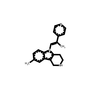 CC(=Cn1c2c(c3cc(C)ccc31)CNCC2)c1ccncc1